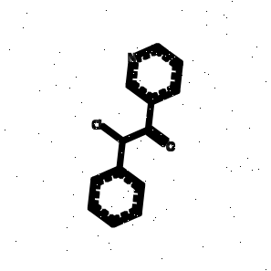 O=C(c1cccnc1)C(Cl)c1ccccc1